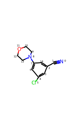 N#Cc1cc(Cl)cc(N2CCOCC2)c1